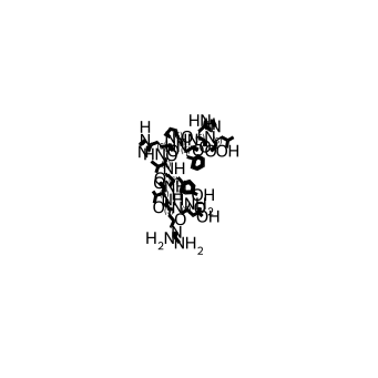 CC(C)C[C@H](NC(=O)[C@H](Cc1cnc[nH]1)NC(=O)[C@H](Cc1ccccc1)NC(=O)[C@@H]1CCCN1C(=O)[C@H](Cc1cnc[nH]1)NC(=O)[C@@H](NC(=O)[C@H](Cc1ccc(O)cc1)NC(=O)[C@@H](NC(=O)[C@H](CCCN=C(N)N)NC(=O)[C@@H](N)CC(=O)O)C(C)C)C(C)C)C(=O)O